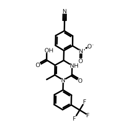 CC1=C(C(=O)O)C(c2ccc(C#N)cc2[N+](=O)[O-])NC(=O)N1c1cccc(C(F)(F)F)c1